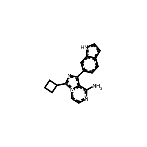 Nc1nccn2c(C3CCC3)nc(-c3ccc4cc[nH]c4c3)c12